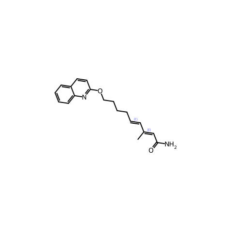 CC(/C=C/CCCCOc1ccc2ccccc2n1)=C\C(N)=O